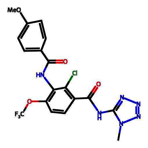 COc1ccc(C(=O)Nc2c(OC(F)(F)F)ccc(C(=O)Nc3nnnn3C)c2Cl)cc1